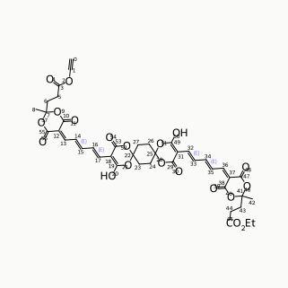 C#COC(=O)CCC1(C)OC(=O)C(=C/C=C/C=C/C2=C(O)OC3(CCC4(CC3)OC(=O)C(/C=C/C=C/C=C3C(=O)OC(C)(CCC(=O)OCC)OC3=O)=C(O)O4)OC2=O)C(=O)O1